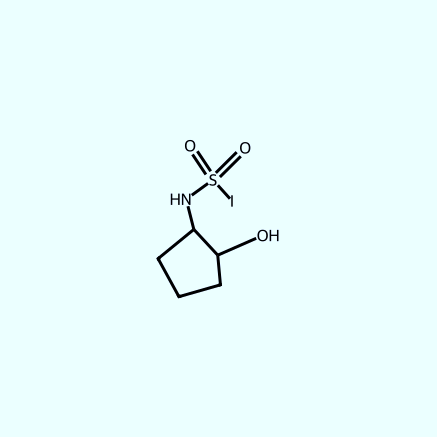 O=S(=O)(I)NC1CCCC1O